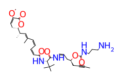 CC#CC[C@@H](C/C=C\NC(=O)[C@@H](NC(=O)\C=C/C=C\C(C)=C\[C@H](C)[C@@H]1CC=C(OC)C(=O)O1)C(C)(C)C)OC(=O)NCCCN